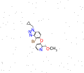 COCc1ncccc1Oc1ccc2c(nnn2CC2CC2)c1Br